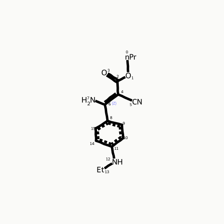 CCCOC(=O)/C(C#N)=C(\N)c1ccc(NCC)cc1